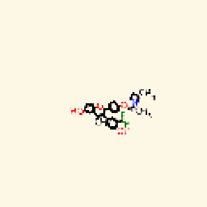 CC1=C(c2ccc(O)c(C(F)F)c2)C(c2ccc(OC[C@H](C)N3CC[C@@H](C)C3)cc2)Oc2ccc(O)cc21